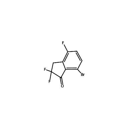 O=C1c2c(Br)ccc(F)c2CC1(F)F